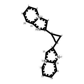 c1ccn2cc(C3CC3c3cn4ccccc4n3)nc2c1